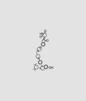 CC1(C)CC([C@H]2CCc3cc(O)ccc3[C@H]2c2ccc(N3CCC(CN4CCN(c5ccc6c(c5)CN([C@H]5CCC(=O)NC5=O)C6=O)CC4)CC3)cc2)CC(C)(C)C1